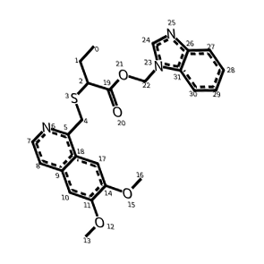 CCC(SCc1nccc2cc(OC)c(OC)cc12)C(=O)OCn1cnc2ccccc21